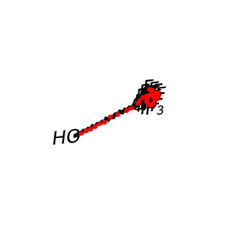 CCCCCCCCCCCCCCCCCCCCCCCCCCCCO.Fc1c(F)c(F)c([B-](c2c(F)c(F)c(F)c(F)c2F)(c2c(F)c(F)c(F)c(F)c2F)c2c(F)c(F)c(F)c(F)c2F)c(F)c1F